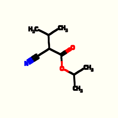 CC(C)OC(=O)C(C#N)C(C)C